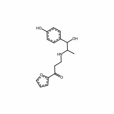 CC(NCCC(=O)c1ccco1)C(O)c1ccc(O)cc1